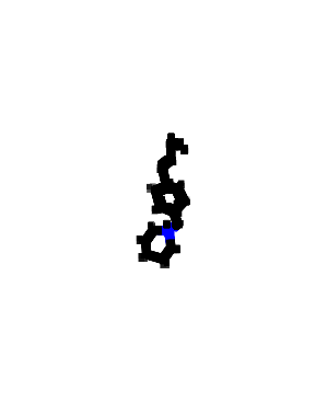 C/C=C/c1ccc(CN2CCCCC2)cc1